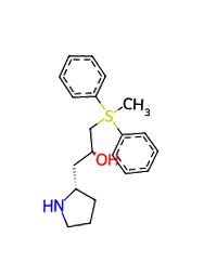 CS(C[C@@H](O)C[C@@H]1CCCN1)(c1ccccc1)c1ccccc1